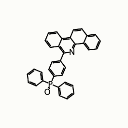 O=P(c1ccccc1)(c1ccccc1)c1ccc(-c2nc3c4ccccc4ccc3c3ccccc23)cc1